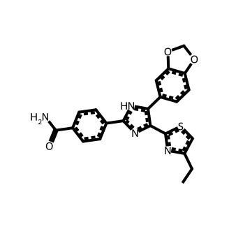 CCc1csc(-c2nc(-c3ccc(C(N)=O)cc3)[nH]c2-c2ccc3c(c2)OCO3)n1